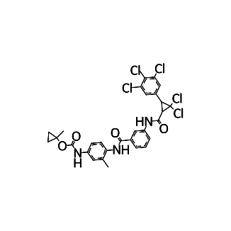 Cc1cc(NC(=O)OC2(C)CC2)ccc1NC(=O)c1cccc(NC(=O)C2C(c3cc(Cl)c(Cl)c(Cl)c3)C2(Cl)Cl)c1